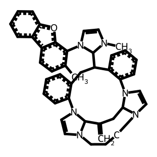 C=C1CC2N3C=CN2c2ccccc2C(C2N(C)C=CN2c2c(C)ccc4c2oc2ccccc24)Cc2ccccc2N2C=CN(CCC3)C12